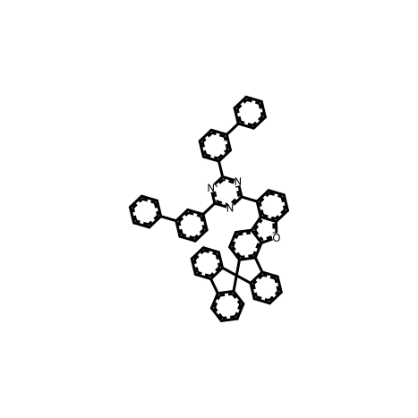 c1ccc(-c2cccc(-c3nc(-c4cccc(-c5ccccc5)c4)nc(-c4cccc5oc6c7c(ccc6c45)C4(c5ccccc5-c5ccccc54)c4ccccc4-7)n3)c2)cc1